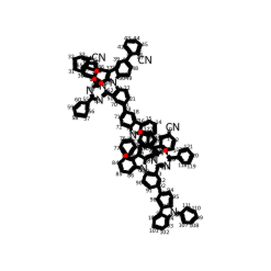 N#Cc1cccc(-c2cc3c(cc2-c2cccc4c5cc(-c6ccc(-n7c8ccc(-c9ccccc9C#N)cc8c8cc(-c9ccccc9C#N)ccc87)c(-c7nc(-c8ccccc8)nc(-c8ccccc8)n7)c6)ccc5n(-c5ccccc5)c24)c2ccccc2n3-c2ccc(-c3ccc4c(c3)c3ccccc3n4-c3ccccc3)cc2-c2nc(-c3ccccc3)nc(-c3ccccc3)n2)c1